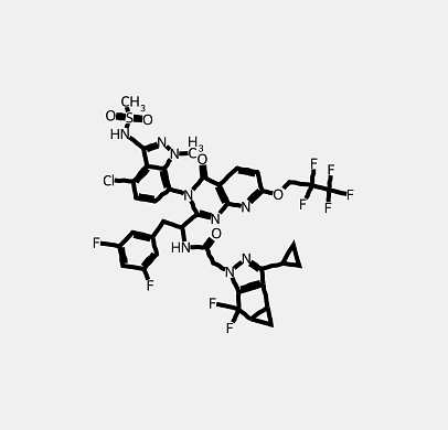 Cn1nc(NS(C)(=O)=O)c2c(Cl)ccc(-n3c(C(Cc4cc(F)cc(F)c4)NC(=O)Cn4nc(C5CC5)c5c4C(F)(F)C4CC54)nc4nc(OCC(F)(F)C(F)(F)F)ccc4c3=O)c21